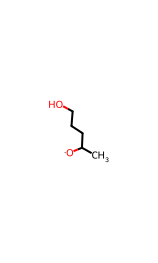 CC([O])CCCO